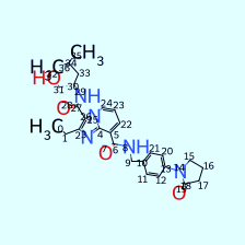 CCc1nc2c(C(=O)NCc3ccc(N4CCCC4=O)cc3)cccn2c1C(=O)N[C@H](CO)CC(C)C